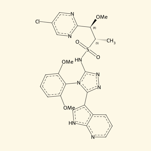 COc1cccc(OC)c1-n1c(NS(=O)(=O)[C@@H](C)[C@H](OC)c2ncc(Cl)cn2)nnc1-c1c[nH]c2ncccc12